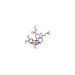 CCOC(=O)C1CCC2(c3cc(OC)c(OC)cc3CCN2C(=O)CCN(C)C)C(C2c3cc(OC)c(OC)cc3CCN2CC)C1